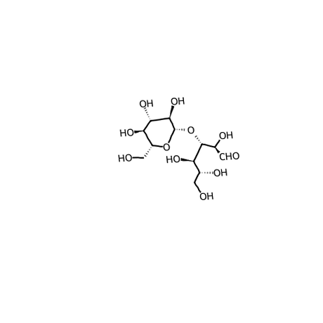 O=C[C@H](O)[C@@H](O[C@@H]1O[C@H](CO)[C@@H](O)[C@H](O)[C@H]1O)[C@H](O)[C@H](O)CO